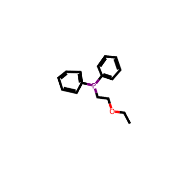 CCOCCP(c1ccccc1)c1ccccc1